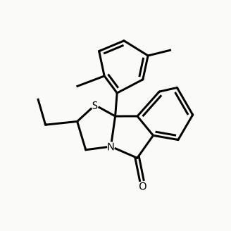 CCC1CN2C(=O)c3ccccc3C2(c2cc(C)ccc2C)S1